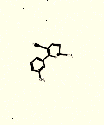 Cc1cccc(-c2nc(C)ccc2C#N)c1